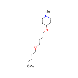 COCCCCOCCCCOC1CCN(C(C)(C)C)CC1